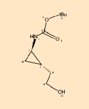 CC(C)(C)OC(=O)N[C@@H]1C[C@H]1CCO